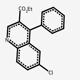 CCOC(=O)c1cnc2ccc(Cl)cc2c1-c1ccccc1